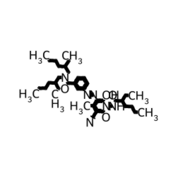 CCCCC(CC)CN(CC(CC)CCCC)C(=O)c1cccc(/N=N/c2c(C)c(C#N)c(=O)n(NC(=O)C(CC)CCCC)c2O)c1